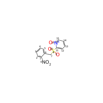 O=[N+]([O-])c1ccccc1CS(=O)(=O)c1cccc[n+]1[O-]